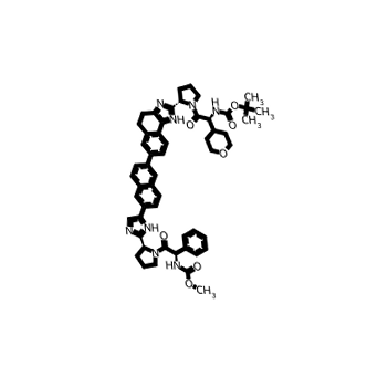 COC(=O)N[C@@H](C(=O)N1CCC[C@H]1c1ncc(-c2ccc3cc(-c4ccc5c(c4)CCc4nc([C@@H]6CCCN6C(=O)[C@@H](NC(=O)OC(C)(C)C)C6CCOCC6)[nH]c4-5)ccc3c2)[nH]1)c1ccccc1